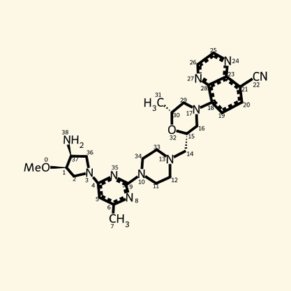 CO[C@@H]1CN(c2cc(C)nc(N3CCN(C[C@H]4CN(c5ccc(C#N)c6nccnc56)C[C@@H](C)O4)CC3)n2)C[C@@H]1N